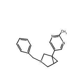 Cc1ncc(C23CC2CN(Cc2ccccc2)C3)cn1